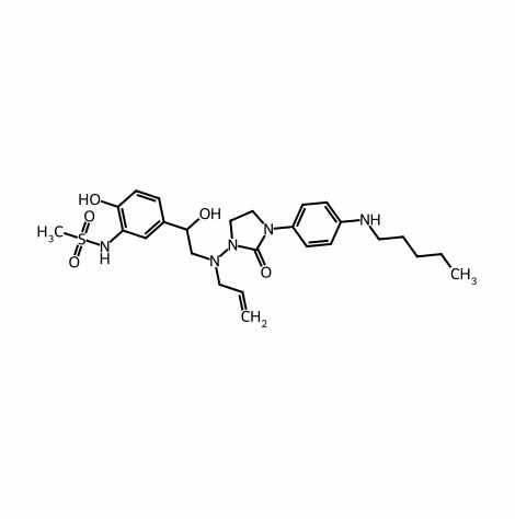 C=CCN(CC(O)c1ccc(O)c(NS(C)(=O)=O)c1)N1CCN(c2ccc(NCCCCC)cc2)C1=O